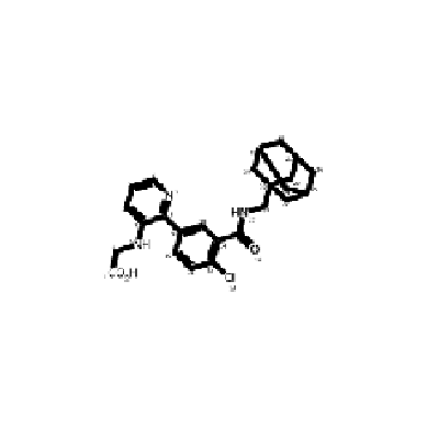 O=C(O)CNc1cccnc1-c1ccc(Cl)c(C(=O)NCC23CC4CC(CC(C4)C2)C3)c1